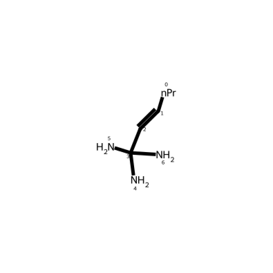 CCCC=CC(N)(N)N